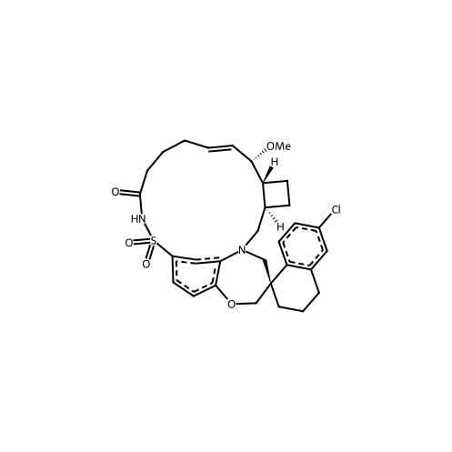 CO[C@H]1/C=C/CCCC(=O)NS(=O)(=O)c2ccc3c(c2)N(C[C@@H]2CC[C@H]21)C[C@@]1(CCCc2cc(Cl)ccc21)CO3